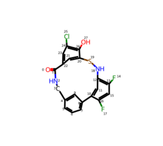 O=C1NCc2cccc(c2)-c2cc(c(F)cc2F)NSc2cc1cc(Cl)c2O